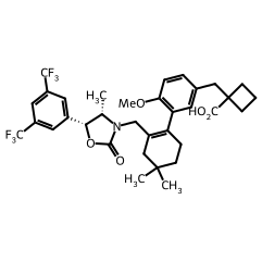 COc1ccc(CC2(C(=O)O)CCC2)cc1C1=C(CN2C(=O)O[C@H](c3cc(C(F)(F)F)cc(C(F)(F)F)c3)[C@@H]2C)CC(C)(C)CC1